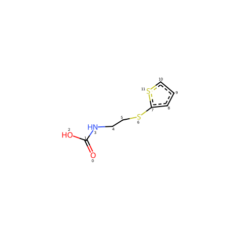 O=C(O)NCCSc1cccs1